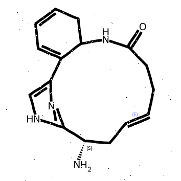 N[C@H]1C/C=C/CCC(=O)NC2CC=CC=C2c2c[nH]c1n2